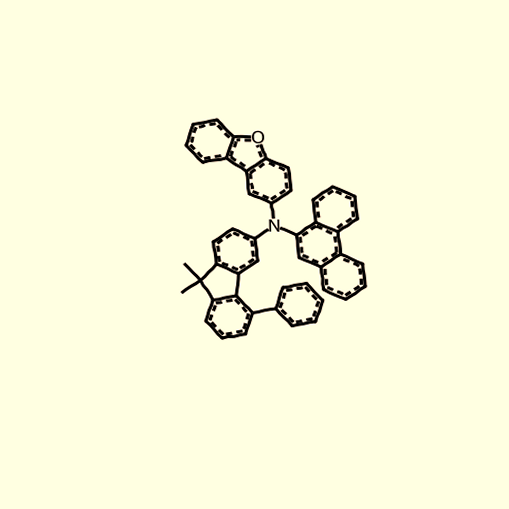 CC1(C)c2ccc(N(c3ccc4oc5ccccc5c4c3)c3cc4ccccc4c4ccccc34)cc2-c2c(-c3ccccc3)cccc21